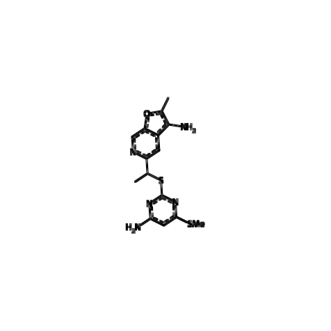 CSc1cc(N)nc(SC(C)c2cc3c(N)c(C)oc3cn2)n1